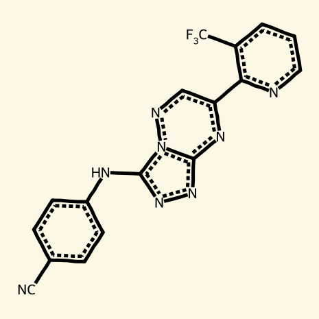 N#Cc1ccc(Nc2nnc3nc(-c4ncccc4C(F)(F)F)cnn23)cc1